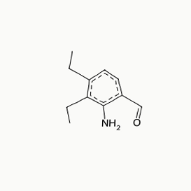 CCc1ccc(C=O)c(N)c1CC